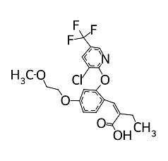 CCC(=Cc1ccc(OCCOC)cc1Oc1ncc(C(F)(F)F)cc1Cl)C(=O)O